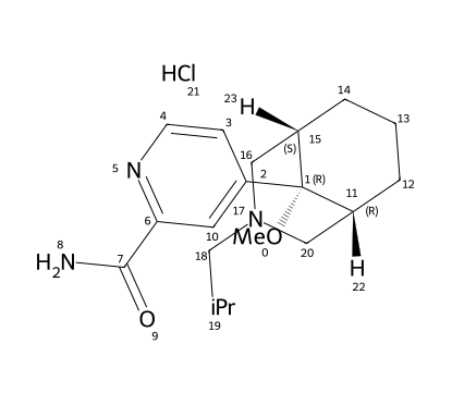 CO[C@@]1(c2ccnc(C(N)=O)c2)[C@@H]2CCC[C@H]1CN(CC(C)C)C2.Cl